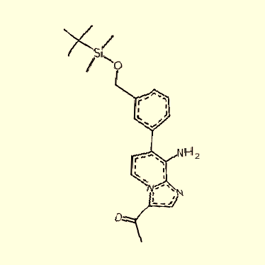 CC(=O)c1cnc2c(N)c(-c3cccc(CO[Si](C)(C)C(C)(C)C)c3)ccn12